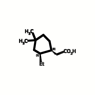 CC[C@H]1CC(C)(C)CC[C@@H]1CC(=O)O